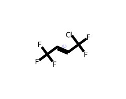 FC(F)(F)/C=C/C(F)(F)Cl